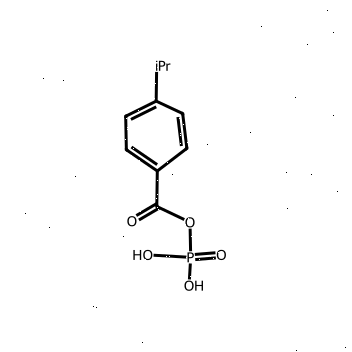 CC(C)c1ccc(C(=O)OP(=O)(O)O)cc1